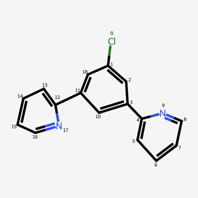 Clc1cc(-c2ccccn2)cc(-c2ccccn2)c1